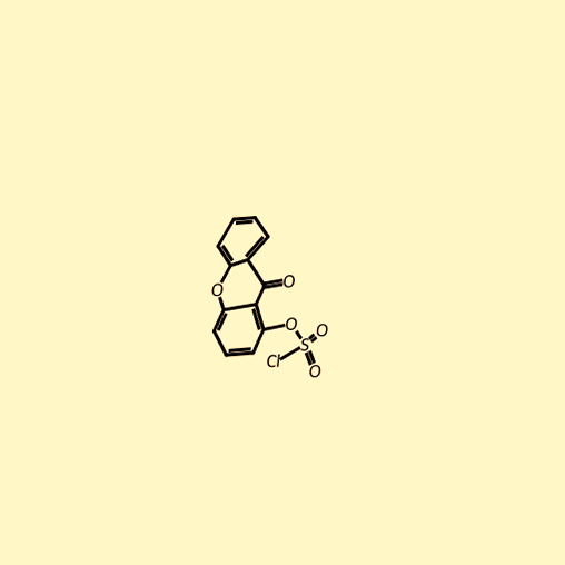 O=c1c2ccccc2oc2cccc(OS(=O)(=O)Cl)c12